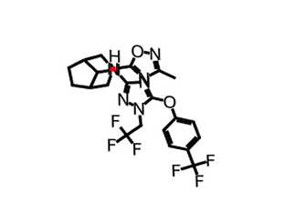 Cc1noc(N2CC3CCC(C2)C3Nc2nc(Oc3ccc(C(F)(F)F)cc3)n(CC(F)(F)F)n2)n1